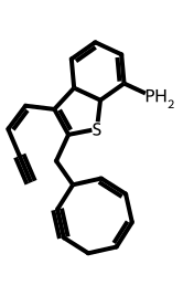 C#C/C=C\C1=C(CC2C#CC/C=C\C=C/2)SC2C(P)=CC=CC12